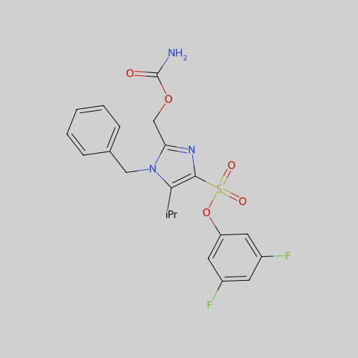 CC(C)c1c(S(=O)(=O)Oc2cc(F)cc(F)c2)nc(COC(N)=O)n1Cc1ccccc1